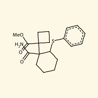 COC(=O)C1(C2(C(N)=O)CCCCC2Sc2ccccc2)CCC1